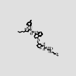 CCCCc1cc(NC(=O)Nc2ccc(OCc3ccnc(NC(=O)NCC(=O)NCCOC)c3)c3ccccc23)n(-c2ccc(C)cc2)n1